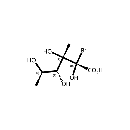 C[C@@H](O)[C@@H](O)[C@](C)(O)[C@@](O)(Br)C(=O)O